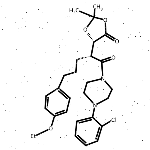 CCOc1ccc(CCC[C@@H](C(=O)N2CCN(c3ccccc3Cl)CC2)[C@@H]2OC(C)(C)OC2=O)cc1